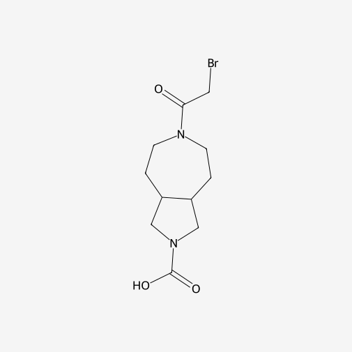 O=C(O)N1CC2CCN(C(=O)CBr)CCC2C1